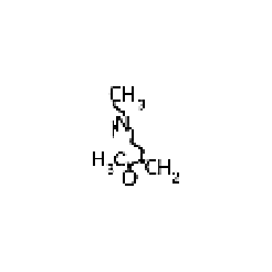 C=C(CCCN(I)CCC)C(C)=O